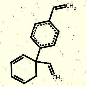 C=Cc1ccc(C2(C=C)C=CC=CC2)cc1